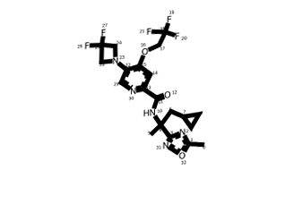 Cc1nc(C(C)(CC2CC2)NC(=O)c2cc(OCC(F)(F)F)c(N3CC(F)(F)C3)cn2)no1